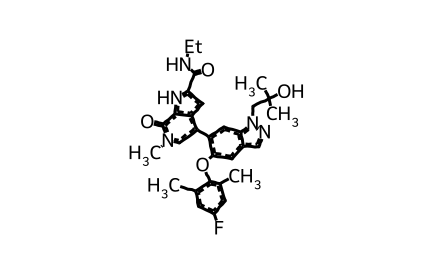 CCNC(=O)c1cc2c(-c3cc4c(cnn4CC(C)(C)O)cc3Oc3c(C)cc(F)cc3C)cn(C)c(=O)c2[nH]1